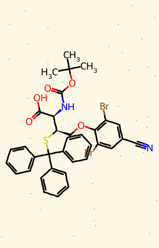 CC(C)(C)OC(=O)N[C@H](C(=O)O)[C@@H](COc1c(Br)cc(C#N)cc1Br)SC(c1ccccc1)(c1ccccc1)c1ccccc1